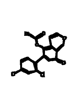 CCC(=O)Oc1c(-c2ccc(Cl)cc2Cl)cc(=O)c2coccc1-2